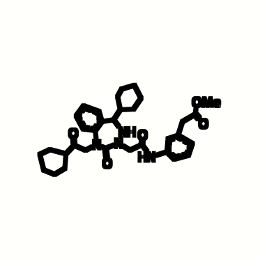 COC(=O)Cc1cccc(NC(=O)CN2NC(C3CCCCC3)c3ccccc3N(CC(=O)C3CCCCC3)C2=O)c1